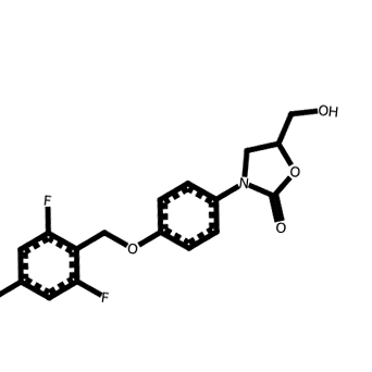 O=C1OC(CO)CN1c1ccc(OCc2c(F)cc(F)cc2F)cc1